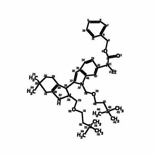 CCN(C(=O)OCc1ccccc1)c1ccc2cc(C3C4=C(CC(C)(C)CC4)NN3COCC[Si](C)(C)C)n(COCC[Si](C)(C)C)c2c1